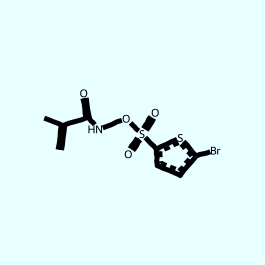 C=C(C)C(=O)NOS(=O)(=O)c1ccc(Br)s1